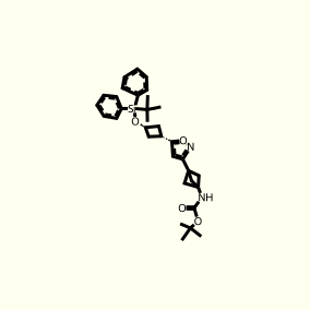 CC(C)(C)OC(=O)NC12CC(c3cc([C@H]4C[C@@H](O[Si](c5ccccc5)(c5ccccc5)C(C)(C)C)C4)on3)(C1)C2